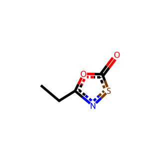 CCc1nsc(=O)o1